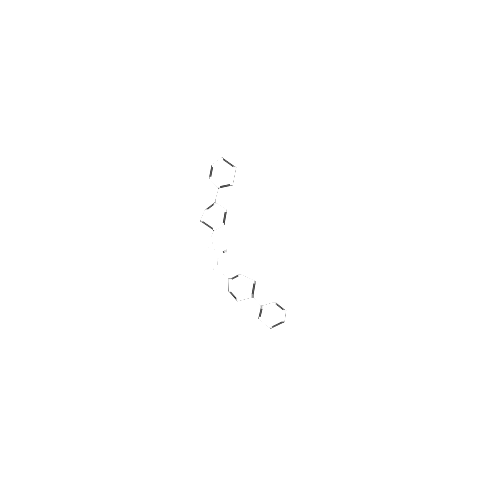 O=S(Oc1ccc(-c2ccccc2)cc1)Oc1ccc(-c2ccccc2)cc1